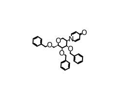 O=c1ccn([C@@H]2CO[C@H](COCc3ccccc3)[C@H](OCc3ccccc3)[C@@H]2OCc2ccccc2)cc1